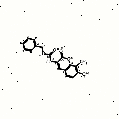 Cc1c(O)ccc2cc(NC(=O)OCc3ccccc3)c(=O)oc12